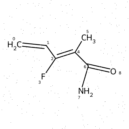 C=C/C(F)=C(\C)C(N)=O